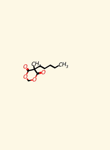 CCCCCC1(C)C(=O)OCOC1=O